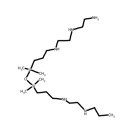 CCCNCCNCCC[Si](C)(C)O[Si](C)(C)CCCNCCNCCN